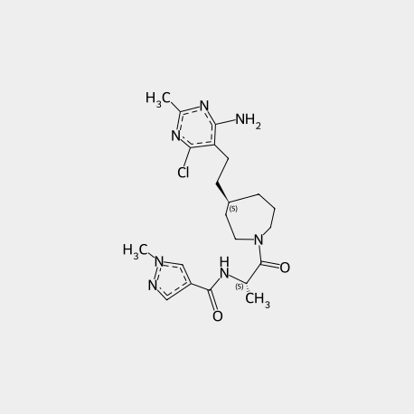 Cc1nc(N)c(CC[C@H]2CCCN(C(=O)[C@H](C)NC(=O)c3cnn(C)c3)CC2)c(Cl)n1